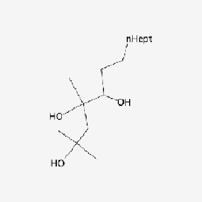 CCCCCCCCCC(O)C(C)(O)CC(C)(C)O